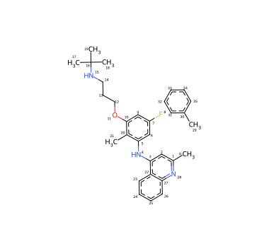 Cc1cc(Nc2cc(F)cc(OCCCNC(C)(C)C)c2C)c2ccccc2n1.Cc1ccccc1